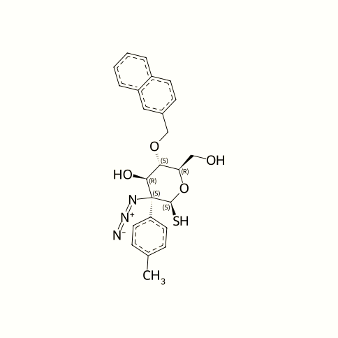 Cc1ccc([C@@]2(N=[N+]=[N-])[C@H](S)O[C@H](CO)[C@@H](OCc3ccc4ccccc4c3)[C@@H]2O)cc1